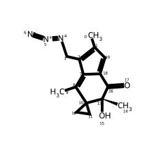 CC1=C(CN=[N+]=[N-])C2=C(C)C3(CC3)[C@@](C)(O)C(=O)C2=C1